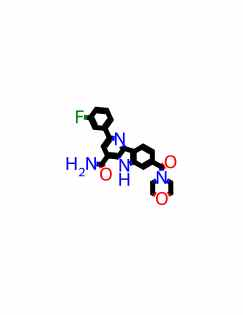 NC(=O)c1cc(-c2cccc(F)c2)nc2c1[nH]c1cc(C(=O)N3CCOCC3)ccc12